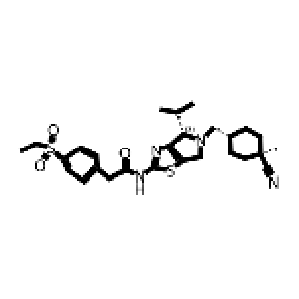 CCS(=O)(=O)c1ccc(CC(=O)Nc2nc3c(s2)CN(C[C@H]2CC[C@](C)(C#N)CC2)[C@H]3C(C)C)cc1